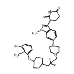 Cc1c(Br)cccc1OC1CCC(CC(F)(F)CN2CCN(c3ccc4c(C5CCC(=O)NC5=O)nn(C)c4c3)CC2)CC1